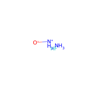 F.N.[NH3+][O-]